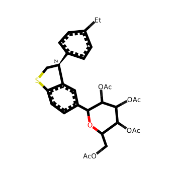 CCc1ccc([C@@H]2CSc3ccc(C4OC(COC(C)=O)C(OC(C)=O)C(OC(C)=O)C4OC(C)=O)cc32)cc1